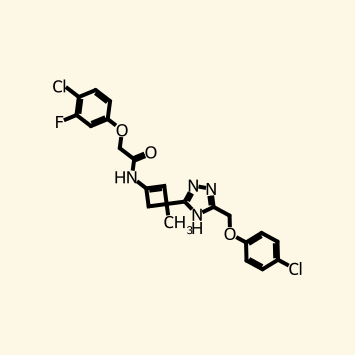 CC1(c2nnc(COc3ccc(Cl)cc3)[nH]2)C=C(NC(=O)COc2ccc(Cl)c(F)c2)C1